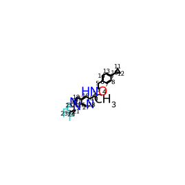 C[C@@H](NC(=O)Cc1ccc(C2CC2)cc1)c1cc2cnn(CC(F)(F)F)c2cn1